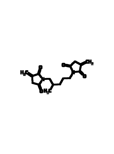 C=C1CC(=O)N(CCCC(C)CN2C(=O)CC(=C)C2=O)C1=O